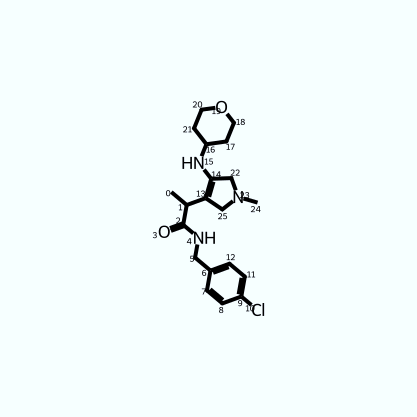 CC(C(=O)NCc1ccc(Cl)cc1)C1=C(NC2CCOCC2)CN(C)C1